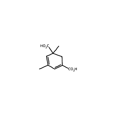 CC1=CC(C)(C(=O)O)CC(C(=O)O)=C1